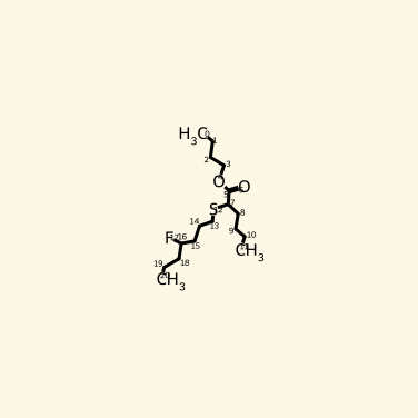 CCCCOC(=O)C(CCCC)SCCCC(F)CCC